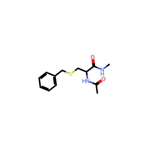 CNC(=O)C(CSCc1ccccc1)NC(C)=O